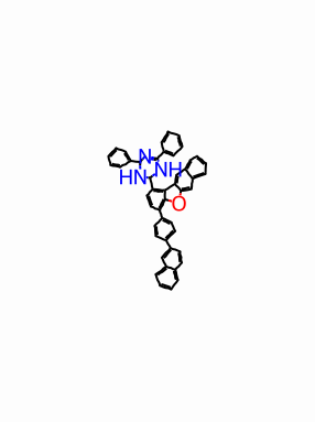 c1ccc(C2=NC(c3ccccc3)NC(c3ccc(-c4ccc(-c5ccc6ccccc6c5)cc4)c4oc5cc6ccccc6cc5c34)N2)cc1